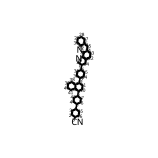 N#Cc1ccc(-c2ccc(-c3ccc(-c4ccc(-c5cnc6c(ccc7cc8ccccc8nc76)c5)cc4)c4ccccc34)cc2)cc1